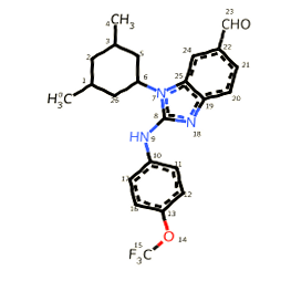 CC1CC(C)CC(n2c(Nc3ccc(OC(F)(F)F)cc3)nc3ccc(C=O)cc32)C1